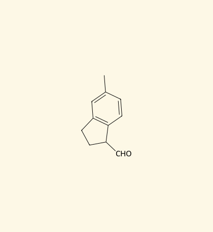 Cc1ccc2c(c1)CCC2C=O